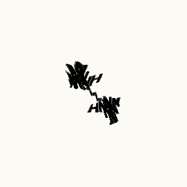 C(CCCNc1nc(N2CC2)nc(N2CC2)n1)CCNc1nc(N2CC2)nc(N2CC2)n1